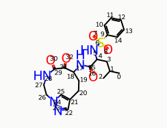 CC(C)CC(NS(=O)(=O)c1ccccc1)C(=O)NC1CCc2cnn(c2)CCNC(=O)C1=O